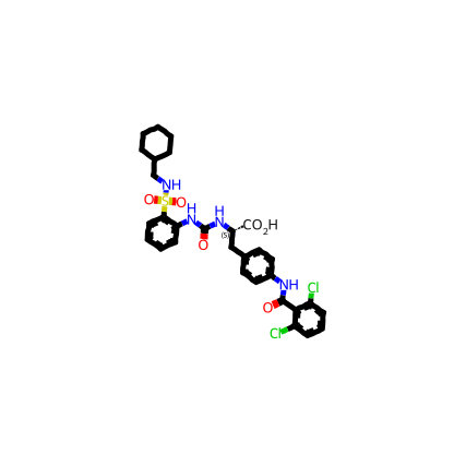 O=C(Nc1ccccc1S(=O)(=O)NCC1CCCCC1)N[C@@H](Cc1ccc(NC(=O)c2c(Cl)cccc2Cl)cc1)C(=O)O